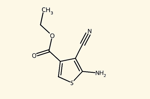 CCOC(=O)c1csc(N)c1C#N